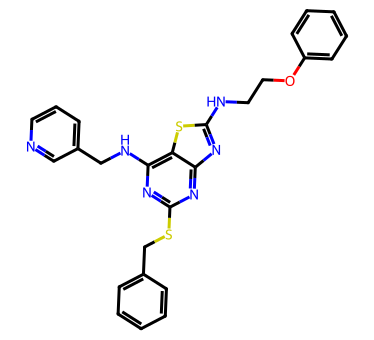 c1ccc(CSc2nc(NCc3cccnc3)c3sc(NCCOc4ccccc4)nc3n2)cc1